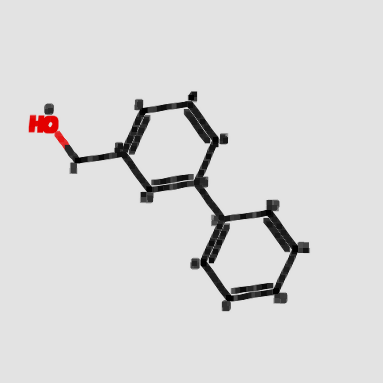 OCc1cc[c]c(-c2ccccc2)c1